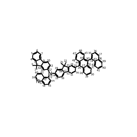 CC1(C)c2ccccc2-c2ccc(N(c3ccc4c(c3)C(C)(C)c3cc(-c5c6ccccc6c(-c6cccc7ccccc67)c6ccccc56)ccc3-4)c3cccc4ncccc34)cc21